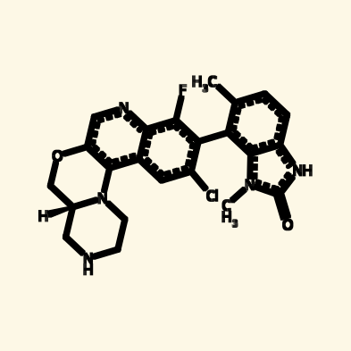 Cc1ccc2[nH]c(=O)n(C)c2c1-c1c(Cl)cc2c3c(cnc2c1F)OC[C@H]1CNCCN31